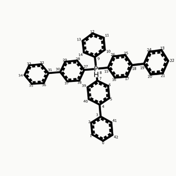 c1ccc(-c2ccc([PH](c3ccccc3)(c3ccc(-c4ccccc4)cc3)c3ccc(-c4ccccc4)cc3)cc2)cc1